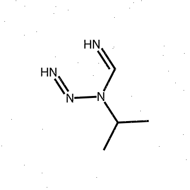 CC(C)N(C=N)N=N